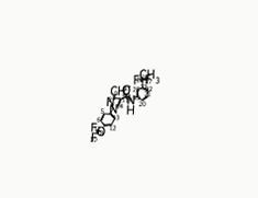 Cc1nn(-c2ccc(OC(F)F)cc2)cc1C(=O)Nc1cccc(C(C)(F)F)c1